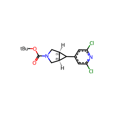 CC(C)(C)OC(=O)N1C[C@@H]2C(c3cc(Cl)nc(Cl)c3)[C@@H]2C1